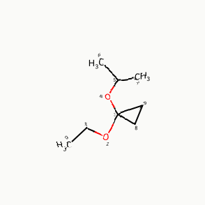 CCOC1(OC(C)C)CC1